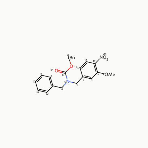 COc1cc(CN(Cc2ccccc2)C(=O)OC(C)(C)C)ccc1[N+](=O)[O-]